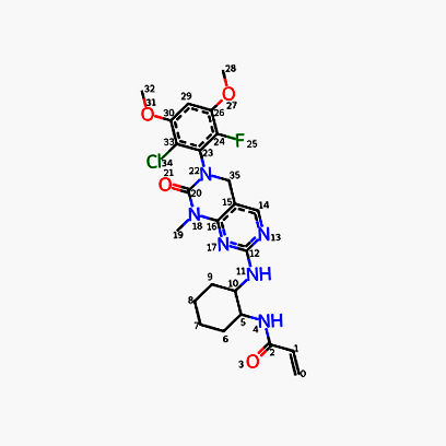 C=CC(=O)NC1CCCCC1Nc1ncc2c(n1)N(C)C(=O)N(c1c(F)c(OC)cc(OC)c1Cl)C2